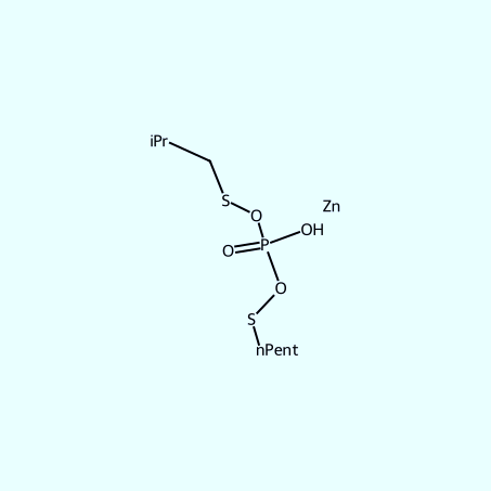 CCCCCSOP(=O)(O)OSCC(C)C.[Zn]